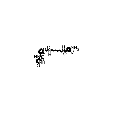 COc1cc(C(=O)NCCCCCCNC(=O)COc2cccc(C(=O)NC3CCC(=O)NC3=O)c2C)ccc1N